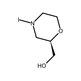 OC[C@H]1CN(I)CCO1